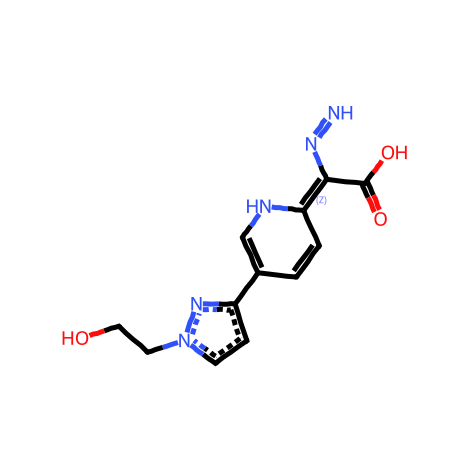 N=N/C(C(=O)O)=C1/C=CC(c2ccn(CCO)n2)=CN1